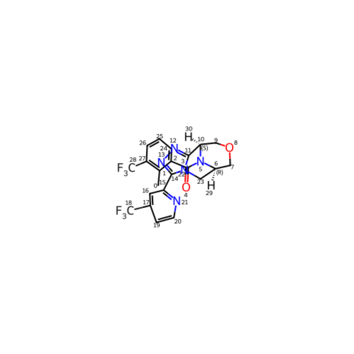 Cc1c(C(=O)N2[C@H]3COC[C@@H]2c2nnc(-c4cc(C(F)(F)F)ccn4)n2C3)cccc1C(F)(F)F